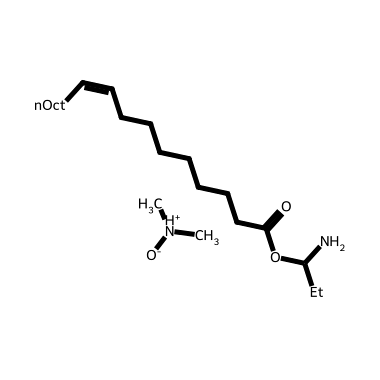 CCCCCCCC/C=C\CCCCCCCC(=O)OC(N)CC.C[NH+](C)[O-]